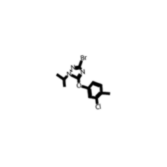 Cc1ccc(Oc2nc(Br)nn2C(C)C)cc1Cl